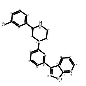 Clc1cccc(C2CN(c3cccc(-c4n[nH]c5ncccc45)n3)CCN2)c1